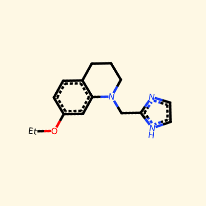 CCOc1ccc2c(c1)N(Cc1ncc[nH]1)CCC2